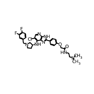 CN(C)CCNC(=O)COc1ccc(-c2nc3c(N[C@H]4CCN(Cc5ccc(F)c(F)c5)C4)c(Cl)cnc3[nH]2)cc1